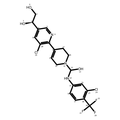 OC[C@H](O)c1cnc(C2=CCN(C(O)Nc3ccc(C(F)(F)F)c(Cl)c3)CC2)c(Cl)c1